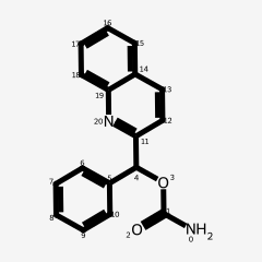 NC(=O)OC(c1ccccc1)c1ccc2ccccc2n1